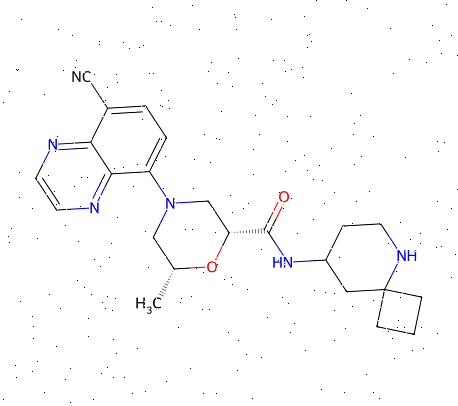 C[C@@H]1CN(c2ccc(C#N)c3nccnc23)C[C@H](C(=O)NC2CCNC3(CCC3)C2)O1